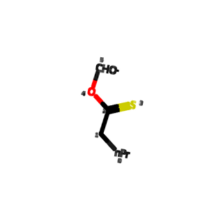 CCCCC(=S)O[C]=O